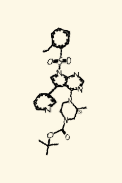 Cc1ccccc1S(=O)(=O)n1cc(-c2cccnc2)c2c(N3CCN(C(=O)OC(C)(C)C)C[C@@H]3C)ncnc21